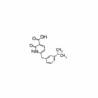 CC(C)c1cccc(Cc2ccc(C(=O)O)c(=O)[nH]2)c1